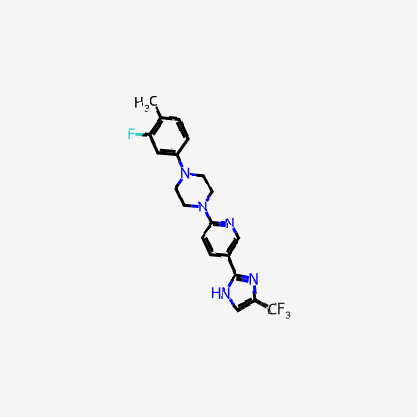 Cc1ccc(N2CCN(c3ccc(-c4nc(C(F)(F)F)c[nH]4)cn3)CC2)cc1F